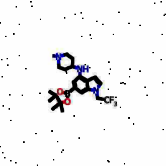 CN1CCC(Nc2cc(B3OC(C)(C)C(C)(C)O3)cc3c2ccn3CC(F)(F)F)CC1